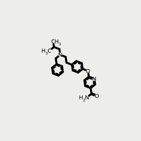 CC(C)CN(CCc1ccc(Oc2ccc(C(N)=O)cn2)cc1)Cc1ccccc1